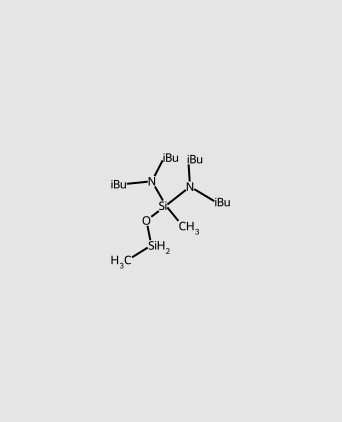 CCC(C)N(C(C)CC)[Si](C)(O[SiH2]C)N(C(C)CC)C(C)CC